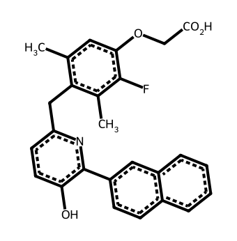 Cc1cc(OCC(=O)O)c(F)c(C)c1Cc1ccc(O)c(-c2ccc3ccccc3c2)n1